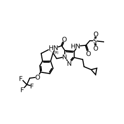 CS(=O)(=O)CC(=O)Nc1c(CCC2CC2)nn2c1C(=O)N[C@@]1(CCc3cc(OCC(F)(F)F)ccc31)C2